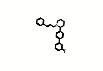 Fc1cccc(-c2ccc(C3CCCCN3CC=Cc3ccccc3)cc2)c1